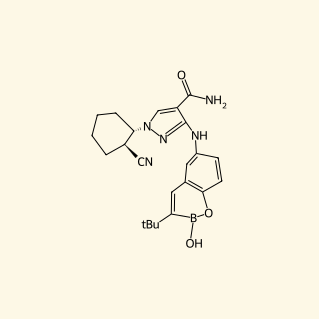 CC(C)(C)C1=Cc2cc(Nc3nn([C@H]4CCCC[C@@H]4C#N)cc3C(N)=O)ccc2OB1O